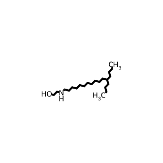 CCCCC(CCCC)CCCCCCCCCCCNCCO